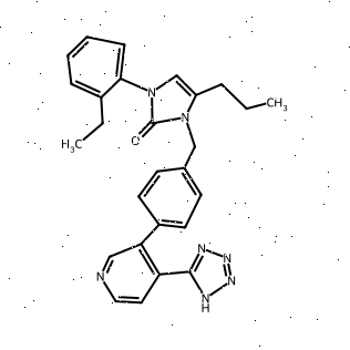 CCCc1cn(-c2ccccc2CC)c(=O)n1Cc1ccc(-c2cnccc2-c2nnn[nH]2)cc1